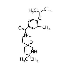 Cc1cc(C(=O)N2CCC3(CCC(C)(C)NC3)OC2)ccc1OC(C)C